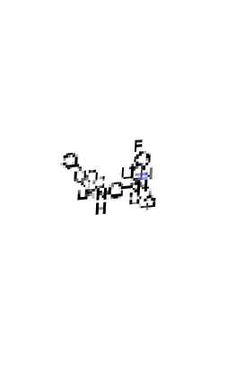 O=C(Nc1ccc(C2S/C(=N\c3ccc(F)cc3Cl)N(CC3=CCCO3)C2=O)cc1)[C@@H]1CCCN1C(=O)OCc1ccccc1